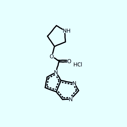 Cl.O=C(OC1CCNC1)n1ccc2cncnc21